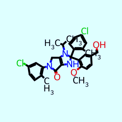 COc1ccc(CO)cc1C1(c2ccc(Cl)cc2C)NC2=C(CN(c3cc(Cl)ccc3C)C2=O)N1C(C)C